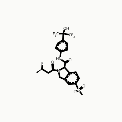 C[C@@H](F)CC(=O)N1Cc2cc(S(C)(=O)=O)ccc2C1C(=O)Nc1ccc(C(O)(C(F)(F)F)C(F)(F)F)cc1